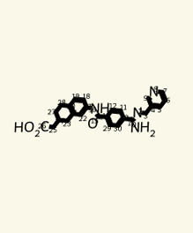 NC(=NCc1cccnc1)c1ccc(C(=O)Nc2ccc3c(c2)CC(CC(=O)O)CC3)cc1